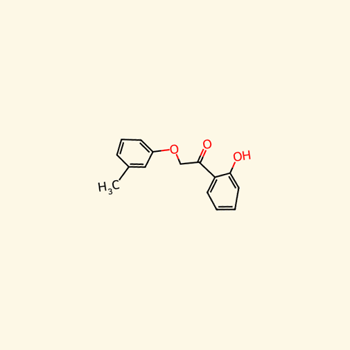 Cc1cccc(OCC(=O)c2ccccc2O)c1